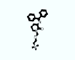 C[Si](C)(C)CCOCN1CCCC(N=C(c2ccccc2)c2ccccc2)C1=O